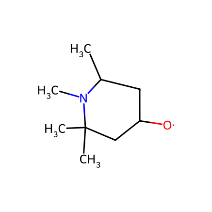 CC1CC([O])CC(C)(C)N1C